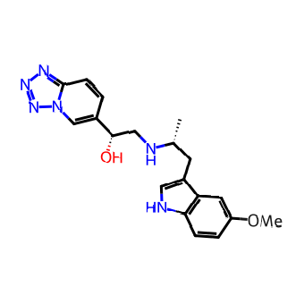 COc1ccc2[nH]cc(C[C@@H](C)NC[C@H](O)c3ccc4nnnn4c3)c2c1